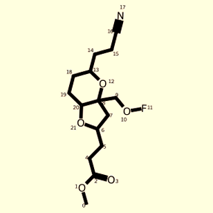 COC(=O)CCC1CC2(COF)OC(CCC#N)CCC2O1